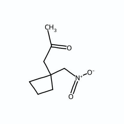 CC(=O)CC1(C[N+](=O)[O-])CCC1